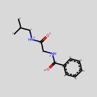 CC(C)CNC(=O)CNC(=O)c1ccccc1